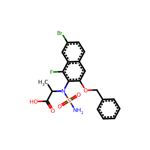 CC(C(=O)O)N(c1c(OCc2ccccc2)cc2ccc(Br)cc2c1F)S(N)(=O)=O